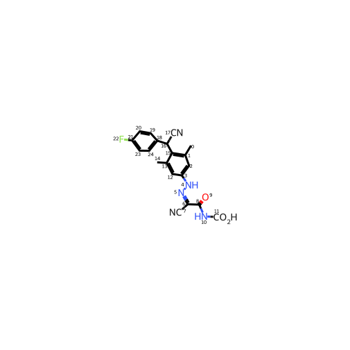 Cc1cc(NN=C(C#N)C(=O)NC(=O)O)cc(C)c1C(C#N)c1ccc(F)cc1